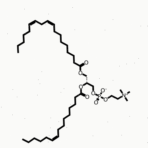 CCCCC/C=C\C/C=C\CCCCCCCC(=O)OC[C@H](COP(=O)([O-])OCC[N+](C)(C)C)OC(=O)CCCCCCC/C=C\CCCCC